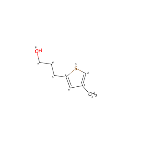 Cc1csc(CCCO)c1